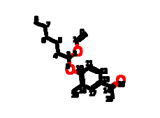 C=COC(CCCCC)Oc1ccc(C(C)=O)cc1C